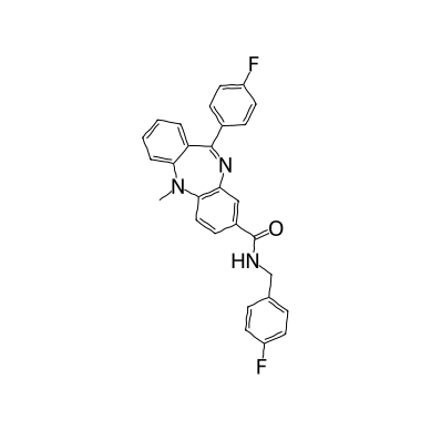 CN1c2ccc(C(=O)NCc3ccc(F)cc3)cc2N=C(c2ccc(F)cc2)c2ccccc21